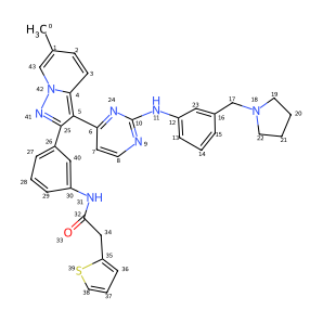 Cc1ccc2c(-c3ccnc(Nc4cccc(CN5CCCC5)c4)n3)c(-c3cccc(NC(=O)Cc4cccs4)c3)nn2c1